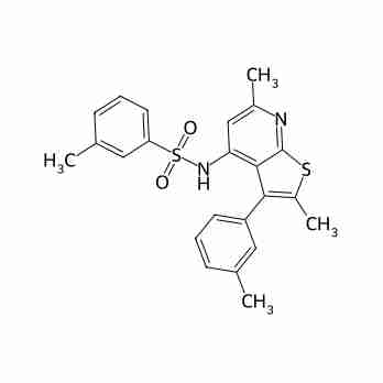 Cc1cccc(-c2c(C)sc3nc(C)cc(NS(=O)(=O)c4cccc(C)c4)c23)c1